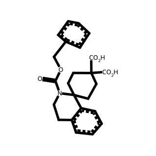 O=C(OCc1ccccc1)N1CCc2ccccc2C12CCC(C(=O)O)(C(=O)O)CC2